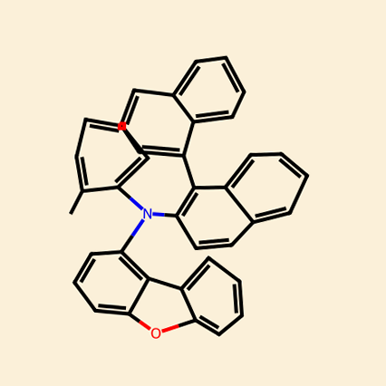 Cc1ccccc1N(c1ccc2ccccc2c1-c1cccc2ccccc12)c1cccc2oc3ccccc3c12